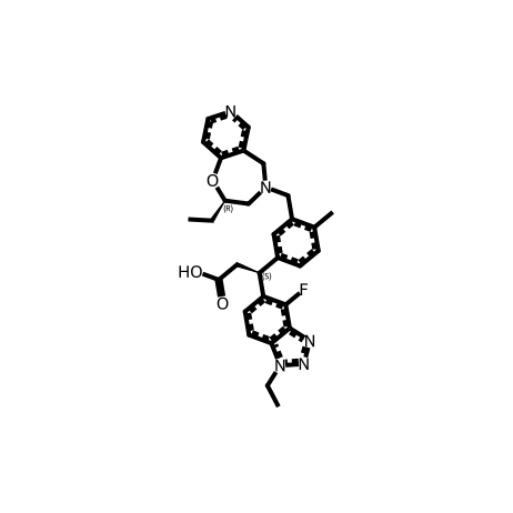 CC[C@@H]1CN(Cc2cc([C@H](CC(=O)O)c3ccc4c(nnn4CC)c3F)ccc2C)Cc2cnccc2O1